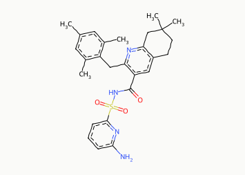 Cc1cc(C)c(Cc2nc3c(cc2C(=O)NS(=O)(=O)c2cccc(N)n2)CCC(C)(C)C3)c(C)c1